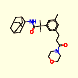 Cc1cc(CCC(=O)N2CCOCC2)cc(C(C)(C)C(=O)NC2C3CC4CC(C3)CC2C4)c1